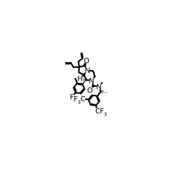 C=CCC1(CC=C)C[C@H]2[C@H](c3ccc(F)cc3C)N(C(=O)N(C)[C@H](C)c3cc(C(F)(F)F)cc(C(F)(F)F)c3)CCN2C1=O